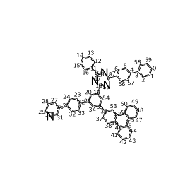 c1ccc(-c2ccc(-c3nc(-c4ccccc4)nc(-c4cc(-c5ccc(-c6cccnc6)cc5)cc(-c5ccc6c7ccccc7c7ccccc7c6c5)c4)n3)cc2)cc1